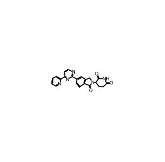 O=C1CCC(N2Cc3cc(-c4nccc(-c5ccccn5)n4)ccc3C2=O)C(=O)N1